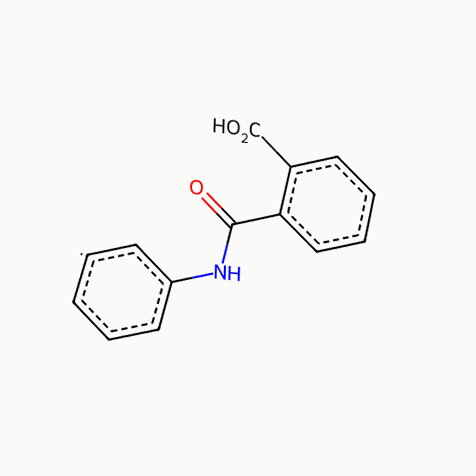 O=C(O)c1ccccc1C(=O)Nc1c[c]ccc1